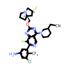 N#CCC1CCCN(c2nc(OC[C@@]34CCCN3C[C@H](F)C4)nc3c(F)c(-c4cc(N)cc(Cl)c4C(F)(F)F)ncc23)C1